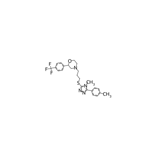 Cc1ccc(-c2nnc(SCCCN3CCOC(c4ccc(C(F)(F)F)cc4)C3)n2C)cc1